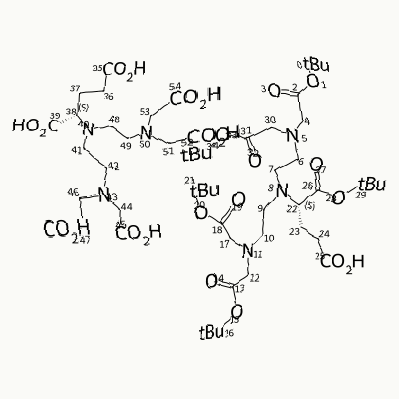 CC(C)(C)OC(=O)CN(CCN(CCN(CC(=O)OC(C)(C)C)CC(=O)OC(C)(C)C)[C@@H](CCC(=O)O)C(=O)OC(C)(C)C)CC(=O)OC(C)(C)C.O=C(O)CC[C@@H](C(=O)O)N(CCN(CC(=O)O)CC(=O)O)CCN(CC(=O)O)CC(=O)O